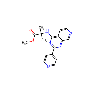 COC(=O)C(C)(C)Nc1nc(-c2ccncc2)nc2cnccc12